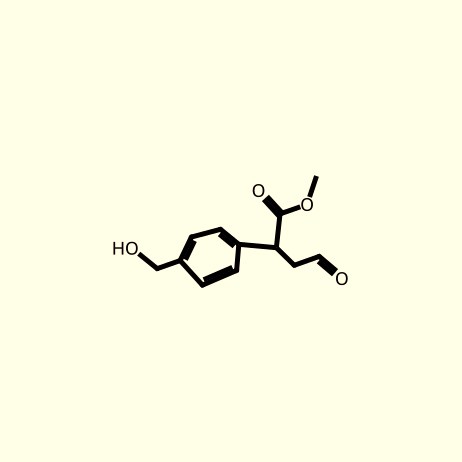 COC(=O)C(CC=O)c1ccc(CO)cc1